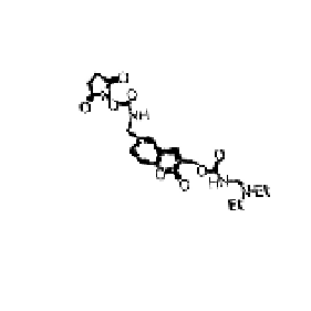 CCN(CC)CNC(=O)OCc1cc2cc(CNC(=O)ON3C(=O)CCC3=O)ccc2oc1=O